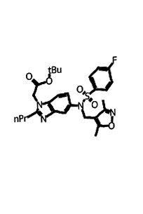 CCCc1nc2cc(N(Cc3c(C)noc3C)S(=O)(=O)c3ccc(F)cc3)ccc2n1CC(=O)OC(C)(C)C